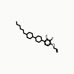 C=CCOc1ccc(C2CCC(C3CCC(CCCCCC)CC3)CC2)c(F)c1F